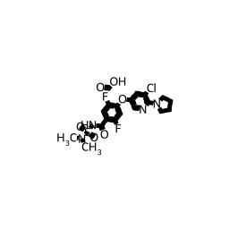 CN(C)S(=O)(=O)NC(=O)c1cc(F)c(Oc2cnc(N3CCCC3)c(Cl)c2)cc1F.O=CO